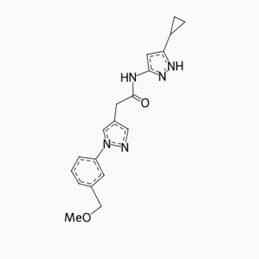 COCc1cccc(-n2cc(CC(=O)Nc3cc(C4CC4)[nH]n3)cn2)c1